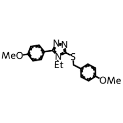 CCn1c(SCc2ccc(OC)cc2)nnc1-c1ccc(OC)cc1